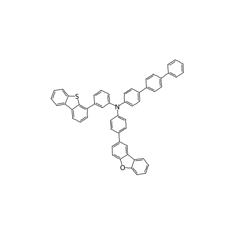 c1ccc(-c2ccc(-c3ccc(N(c4ccc(-c5ccc6oc7ccccc7c6c5)cc4)c4cccc(-c5cccc6c5sc5ccccc56)c4)cc3)cc2)cc1